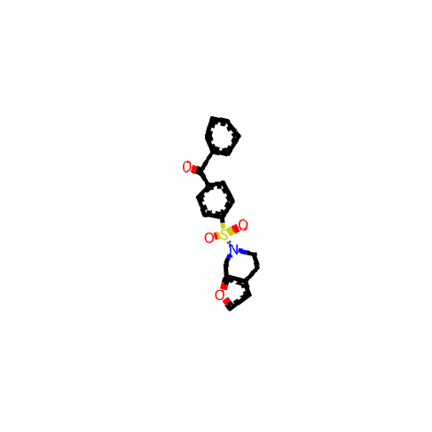 O=C(c1ccccc1)c1ccc(S(=O)(=O)N2CCc3ccoc3C2)cc1